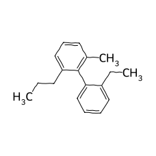 CCCc1cccc(C)c1-c1ccccc1CC